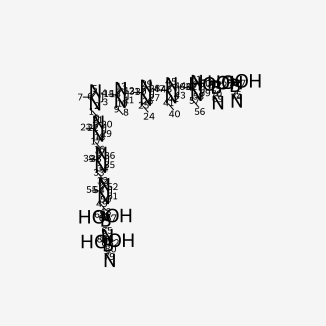 CCN1CCN=C1C.CCN1CCN=C1C.CCN1CCN=C1C.CCN1CCN=C1C.CCN1CCN=C1C.CCN1CCN=C1C.CCN1CCN=C1C.CCN1CCN=C1C.N#CB(O)O.N#CB(O)O.N#CB(O)O.N#CB(O)O